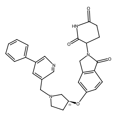 O=C1CCC(N2Cc3cc(O[C@H]4CCN(Cc5cncc(-c6ccccc6)c5)C4)ccc3C2=O)C(=O)N1